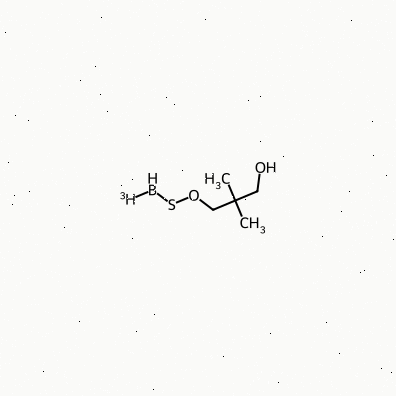 [3H]BSOCC(C)(C)CO